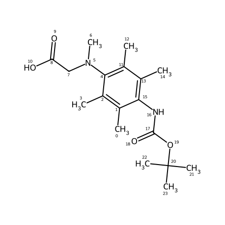 Cc1c(C)c(N(C)CC(=O)O)c(C)c(C)c1NC(=O)OC(C)(C)C